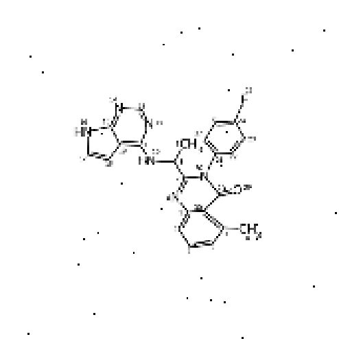 Cc1cccc2nc(C(C)Nc3ncnc4[nH]ccc34)n(-c3ccc(F)cc3)c(=O)c12